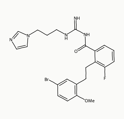 COc1ccc(Br)cc1CCc1c(F)cccc1C(=O)NC(=N)NCCCn1ccnc1